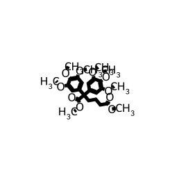 COC(=O)CCCC(C(=O)OC)(c1cc(OC)c(OC)c(OC)c1)c1cc(OC)c(OC)c(OC)c1